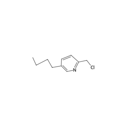 CCCCc1ccc(CCl)nc1